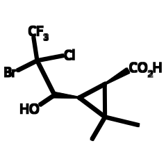 CC1(C)[C@H](C(=O)O)[C@@H]1C(O)C(Cl)(Br)C(F)(F)F